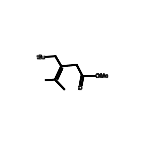 COC(=O)CC(CC(C)(C)C)=C(C)C